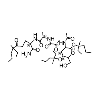 CCCC(C)(CC)O[C@H]1OC(CO)[C@@H](OC(C)(CC)CCC)[C@H](O[C@H](C)C(=O)N[C@@H](C)C(=O)N[C@H](CCC(=O)C(C)(CC)CCC)C(N)=O)C1NC(C)=O